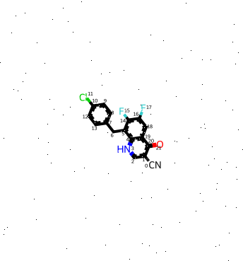 N#Cc1c[nH]c2c(Cc3ccc(Cl)cc3)c(F)c(F)cc2c1=O